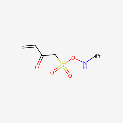 C=CC(=O)CS(=O)(=O)ONC(C)C